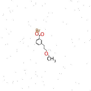 CCOCCCc1cccc(C(=O)OBr)c1